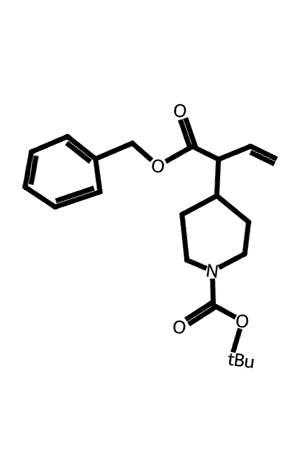 C=CC(C(=O)OCc1ccccc1)C1CCN(C(=O)OC(C)(C)C)CC1